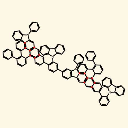 c1ccc(-c2ccccc2-c2c(-c3ccccc3)cccc2N(c2ccc(-c3ccc(-c4ccc5c6ccc(N(c7ccc(-c8ccccc8-n8c9ccccc9c9ccccc98)cc7)c7cccc(-c8ccccc8)c7-c7ccccc7-c7ccccc7)cc6n(-c6ccccc6)c5c4)cc3-n3c4ccccc4c4ccccc43)cc2)c2ccc3c(c2)c2ccccc2n3-c2ccccc2)cc1